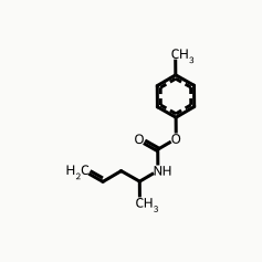 C=CCC(C)NC(=O)Oc1ccc(C)cc1